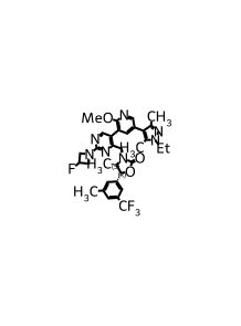 CCn1nc(C)c(-c2cnc(OC)c(-c3cnc(N4CC(F)C4)nc3CN3C(=O)O[C@H](c4cc(C)cc(C(F)(F)F)c4)[C@@H]3C)c2)c1C